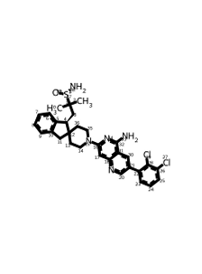 CC(C)(C[C@@H]1c2ccccc2CC12CCN(c1cc3ncc(-c4cccc(Cl)c4Cl)cc3c(N)n1)CC2)[S+](N)[O-]